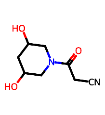 N#CCC(=O)N1CC(O)CC(O)C1